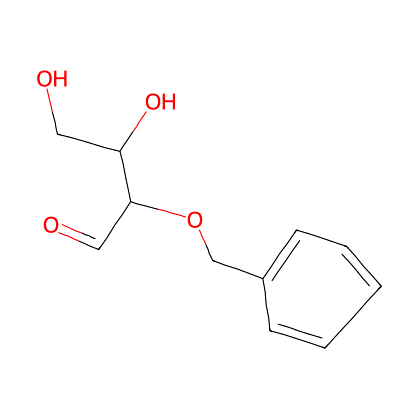 O=CC(OCc1ccccc1)C(O)CO